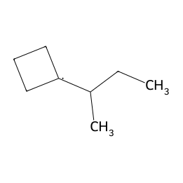 CCC(C)[C]1CCC1